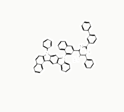 CCC1C(c2cc(-n3c4ccccc4c4cc5c6c7ccccc7ccc6n(-c6ccccc6)c5cc43)c3ccccc3c2)=NC(c2cccc(-c3ccccc3)c2)=NC1c1ccccc1